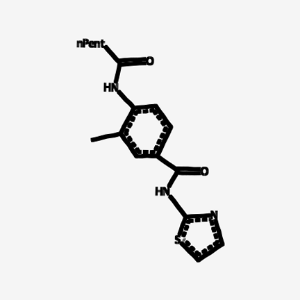 CCCCCC(=O)Nc1ccc(C(=O)Nc2nccs2)cc1C